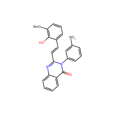 COc1cccc(/C=C/c2nc3ccccc3c(=O)n2-c2cccc([N+](=O)[O-])c2)c1O